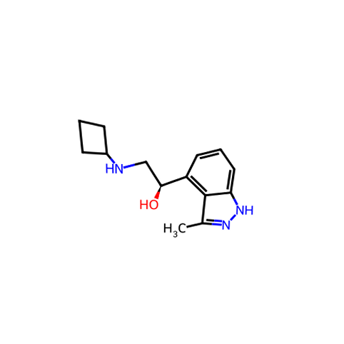 Cc1n[nH]c2cccc([C@@H](O)CNC3CCC3)c12